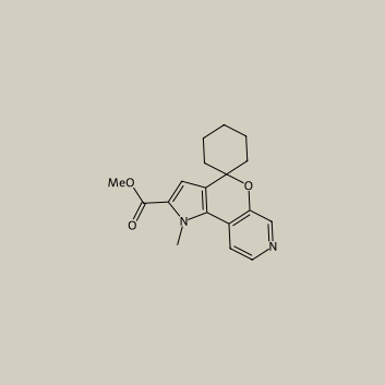 COC(=O)c1cc2c(n1C)-c1ccncc1OC21CCCCC1